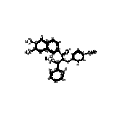 COc1ccc(CN(C(=O)c2ccc3nc(N)c(C)cc3c2)[C@H](C)c2ncccn2)nc1